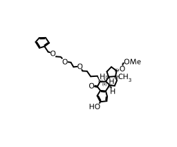 COCO[C@H]1CC[C@H]2[C@@H]3[C@H](CCCCOCCOCCOCc4ccccc4)C(=O)c4cc(O)ccc4[C@H]3CC[C@]12C